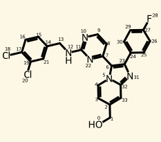 OCc1ccn2c(-c3ccnc(NCc4ccc(Cl)c(Cl)c4)n3)c(-c3ccc(F)cc3)nc2c1